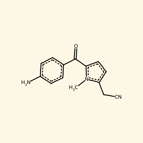 Cn1c(CC#N)ccc1C(=O)c1ccc(N)cc1